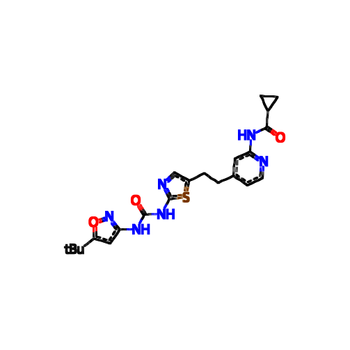 CC(C)(C)c1cc(NC(=O)Nc2ncc(CCc3ccnc(NC(=O)C4CC4)c3)s2)no1